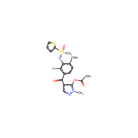 COc1ccc(C(=O)c2cnn(C)c2OC(=O)SC)c(Cl)c1N=S(C)(=O)c1cccs1